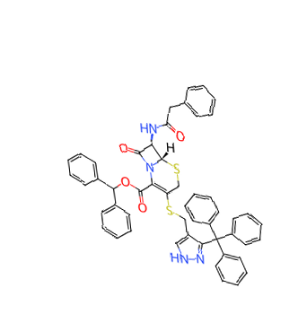 O=C(Cc1ccccc1)N[C@@H]1C(=O)N2C(C(=O)OC(c3ccccc3)c3ccccc3)=C(SCc3c[nH]nc3C(c3ccccc3)(c3ccccc3)c3ccccc3)CS[C@@H]12